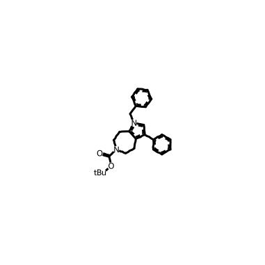 CC(C)(C)OC(=O)N1CCc2c(-c3ccccc3)cn(Cc3ccccc3)c2CC1